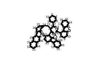 c1ccc(-c2nc(-c3cccc4sc5ccccc5c34)nc3c2Cc2ccc4c5cc6ccccc6cc5n(c4c2)-c2ccc4c(oc5ccccc54)c2-3)cc1